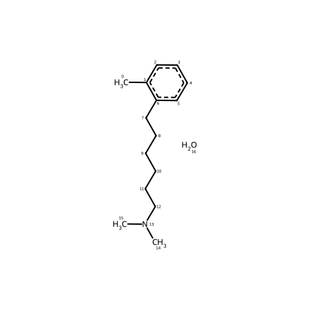 Cc1ccccc1CCCCCCN(C)C.O